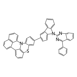 c1ccc(-c2nc(-n3c4ccccc4c4cc(-c5ccc6c(c5)sc5cccc7c5-n6c5cccc6cccc7c65)ccc43)nc3ccccc23)cc1